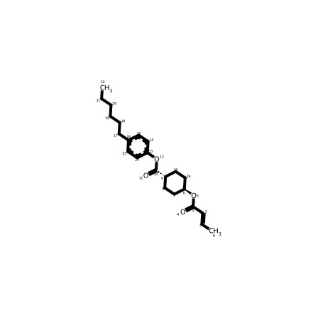 CC=CC(=O)O[C@H]1CC[C@H](C(=O)Oc2ccc(CCCCCC)cc2)CC1